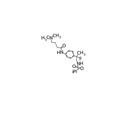 CC(C)S(=O)(=O)NCC(C)(F)c1ccc(NC(=O)CCCN(C)C)cc1